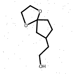 OCCC1CCC2(C1)OCCO2